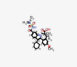 COc1ccc2c(c1)[C@H](C)[C@@](C)(C(=O)O)Cn1c-2c(C2CCCCC2)c2ccc(C(=O)NS(=O)(=O)N(C)C)cc21